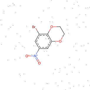 O=[N+]([O-])c1cc(Br)c2c(c1)OCCO2